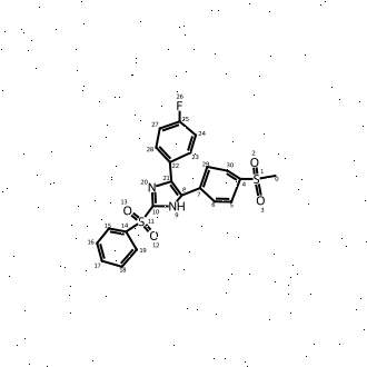 CS(=O)(=O)c1ccc(-c2[nH]c(S(=O)(=O)c3ccccc3)nc2-c2ccc(F)cc2)cc1